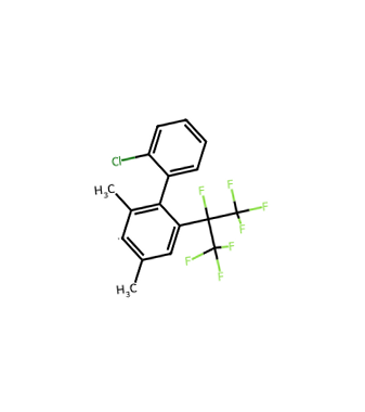 Cc1[c]c(C)c(-c2ccccc2Cl)c(C(F)(C(F)(F)F)C(F)(F)F)c1